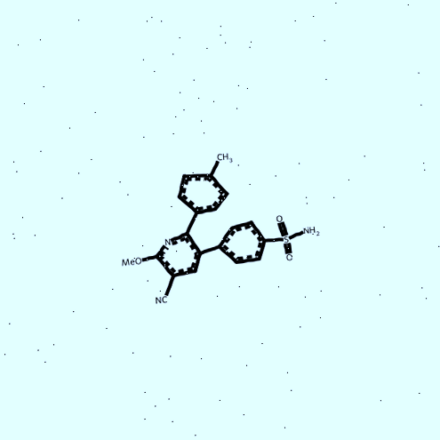 COc1nc(-c2ccc(C)cc2)c(-c2ccc(S(N)(=O)=O)cc2)cc1C#N